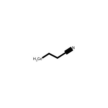 N#CC[CH2][GeH3]